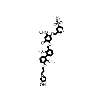 Cc1c(COc2cc(OCc3cncc(S(C)(=O)=O)c3)c(C=O)cc2Cl)cccc1-c1cccc(OCCCN2CC[C@@H](O)C2)c1C